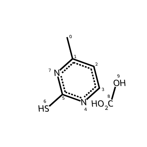 Cc1ccnc(S)n1.O=C(O)O